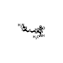 CNC1=NS(=O)(=O)N=C1NCCSCc1csc(N)n1